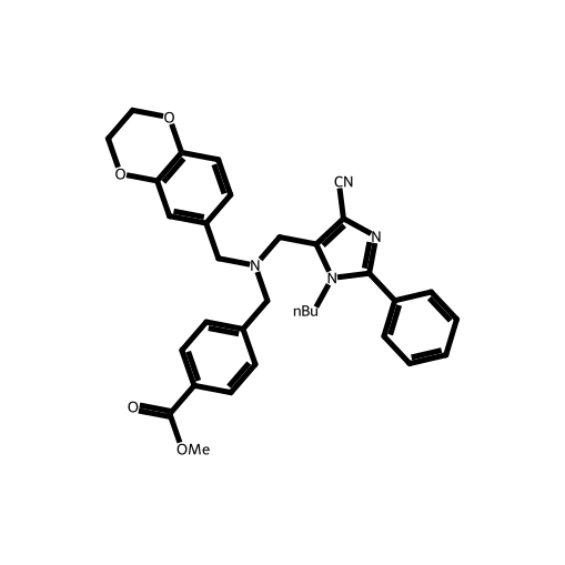 CCCCn1c(-c2ccccc2)nc(C#N)c1CN(Cc1ccc(C(=O)OC)cc1)Cc1ccc2c(c1)OCCO2